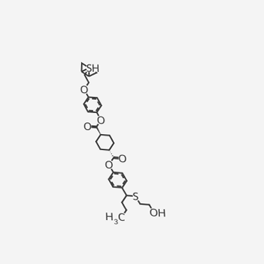 CCCC(SCCO)c1ccc(OC(=O)[C@H]2CC[C@H](C(=O)Oc3ccc(OCC[SH]456CC4C5C6)cc3)CC2)cc1